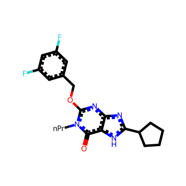 CCCn1c(OCc2cc(F)cc(F)c2)nc2nc(C3CCCC3)[nH]c2c1=O